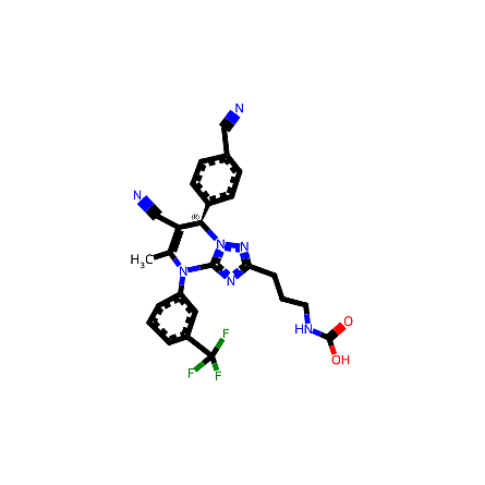 CC1=C(C#N)[C@@H](c2ccc(C#N)cc2)n2nc(CCCNC(=O)O)nc2N1c1cccc(C(F)(F)F)c1